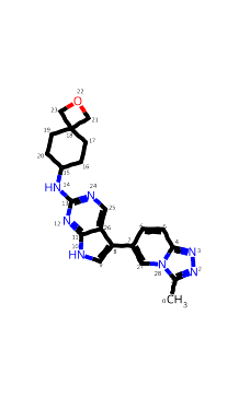 Cc1nnc2ccc(-c3c[nH]c4nc(NC5CCC6(CC5)COC6)ncc34)cn12